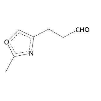 Cc1nc(CCC=O)co1